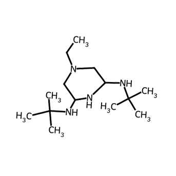 CCN1CC(NC(C)(C)C)NC(NC(C)(C)C)C1